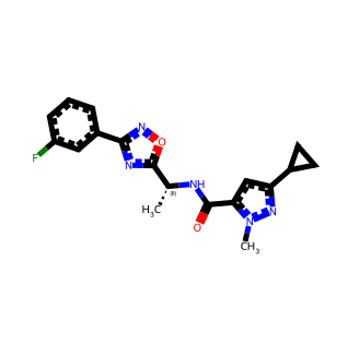 C[C@@H](NC(=O)c1cc(C2CC2)nn1C)c1nc(-c2cccc(F)c2)no1